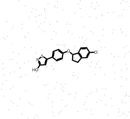 Oc1cc(-c2ccc(OC3CCc4cc(Cl)ccc43)cc2)sn1